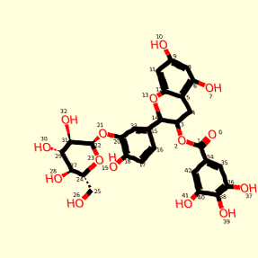 O=C(OC1Cc2c(O)cc(O)cc2OC1c1ccc(O)c(O[C@H]2O[C@H](CO)[C@@H](O)[C@H](O)[C@H]2O)c1)c1cc(O)c(O)c(O)c1